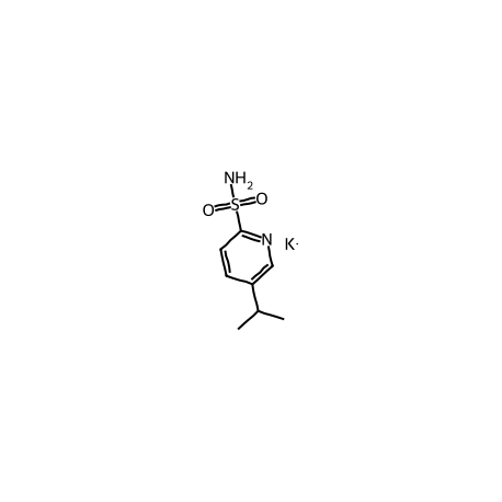 CC(C)c1ccc(S(N)(=O)=O)nc1.[K]